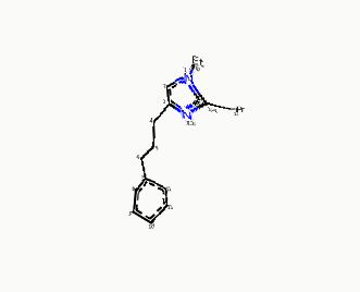 CCn1cc(CCCc2ccccc2)nc1C(C)C